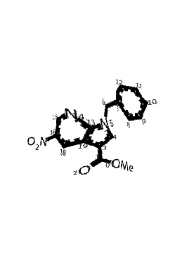 COC(=O)c1cn(Cc2ccccc2)c2ncc([N+](=O)[O-])cc12